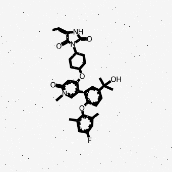 CC=C1NC(=O)N(C2CCC(Oc3cc(=O)n(C)cc3-c3cc(C(C)(C)O)ccc3Oc3c(C)cc(F)cc3C)CC2)C1=O